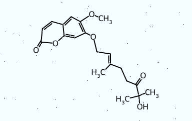 COc1cc2ccc(=O)oc2cc1OC/C=C(\C)CCC(=O)C(C)(C)O